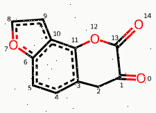 O=C1Cc2ccc3occc3c2OC1=O